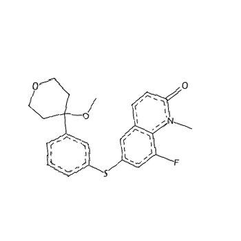 COC1(c2cccc(Sc3cc(F)c4c(ccc(=O)n4C)c3)c2)CCOCC1